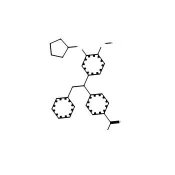 COc1ccc(C(Cc2ccccc2)c2ccc(C(=O)O)cc2)cc1OC1CCCC1